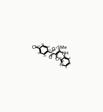 CSC(Nc1cccnc1)=C(C#N)S(=O)(=O)c1ccc(Cl)cc1